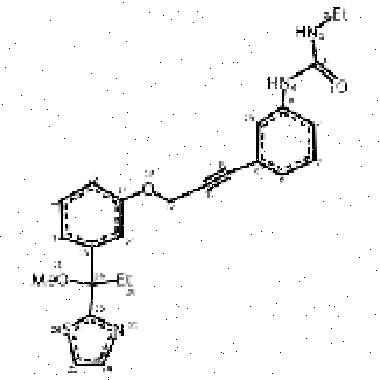 CCNC(=O)Nc1cccc(C#CCOc2cccc(C(CC)(OC)c3nccs3)c2)c1